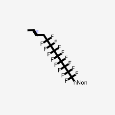 C/C=C/CC(F)(F)C(F)(F)C(F)(F)C(F)(F)C(F)(F)C(F)(F)C(F)(F)C(F)(F)CCCCCCCCC